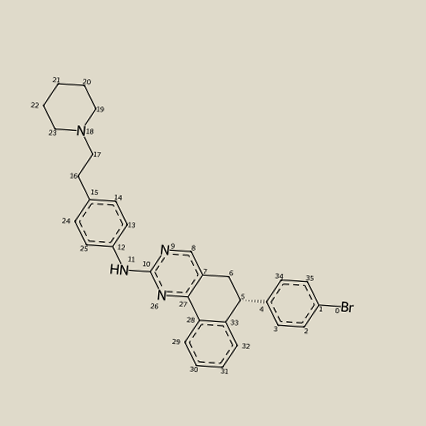 Brc1ccc([C@H]2Cc3cnc(Nc4ccc(CCN5CCCCC5)cc4)nc3-c3ccccc32)cc1